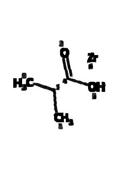 CCC.O=CO.[Zr]